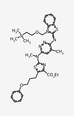 CCOC(=O)c1nc(N(C)c2cc(C)c(N=c3sc4ccccc4n3COCC[Si](C)(C)C)nn2)sc1CCCOc1ccccc1